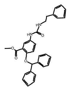 COC(=O)c1cc(NC(=O)NCCc2ccccc2)ccc1OC(c1ccccc1)c1ccccc1